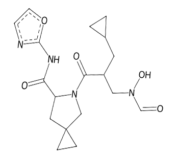 O=CN(O)CC(CC1CC1)C(=O)N1CC2(CC2)CC1C(=O)Nc1ncco1